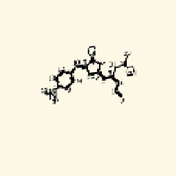 C=C/C=C(\C=C1/CC(=O)/C(=C/c2ccc(N(C)C)cc2)C1)CC(C)=O